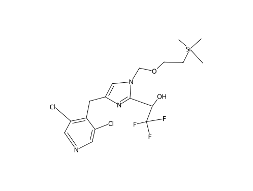 C[Si](C)(C)CCOCn1cc(Cc2c(Cl)cncc2Cl)nc1C(O)C(F)(F)F